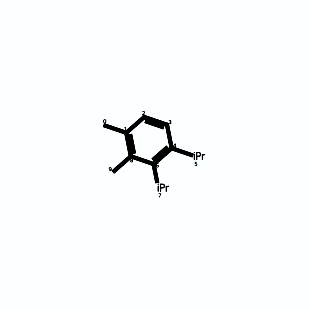 Cc1ccc(C(C)C)c(C(C)C)c1C